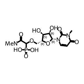 CNC(=O)C(OC[C@H]1O[C@@H](n2ccc(=O)n(C)c2=O)[C@H](O)[C@@H]1O)P(=O)(O)O